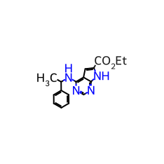 CCOC(=O)c1cc2c(NC(C)c3ccccc3)ncnc2[nH]1